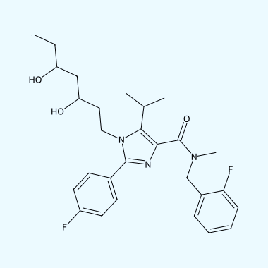 [CH2]CC(O)CC(O)CCn1c(-c2ccc(F)cc2)nc(C(=O)N(C)Cc2ccccc2F)c1C(C)C